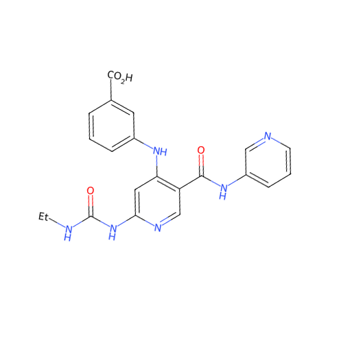 CCNC(=O)Nc1cc(Nc2cccc(C(=O)O)c2)c(C(=O)Nc2cccnc2)cn1